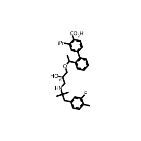 Cc1ccc(CC(C)(C)NC[C@@H](O)COC(C)c2ccccc2-c2ccc(C(=O)O)c(C(C)C)c2)cc1F